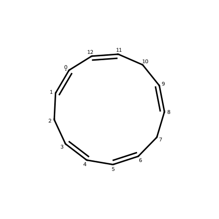 [C]1=CCC=CC=CCC=CCC=C1